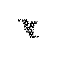 COc1ccc(C(=O)C2C(=O)C(=O)N(c3ccc(OC)cc3)C2c2ccc(Br)cc2)cc1